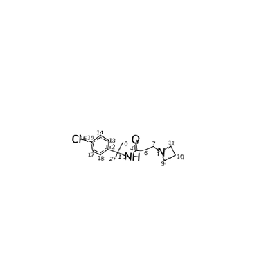 CC(C)(NC(=O)CCN1CCC1)c1ccc(Cl)cc1